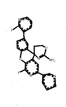 NC1=NC2(CCO1)c1cc(-c3cccnc3F)ccc1Oc1c2cc(-c2cccnc2)nc1F